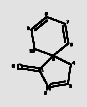 O=C1N=CCC12C=CC=CC2